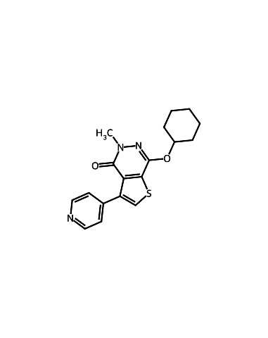 Cn1nc(OC2CCCCC2)c2scc(-c3ccncc3)c2c1=O